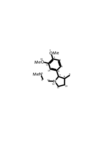 CNC.COc1ccc(C2C(C)CCN2C)cc1OC